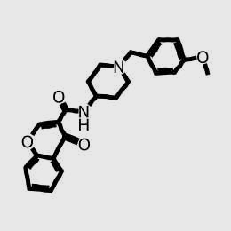 COc1ccc(CN2CCC(NC(=O)c3coc4ccccc4c3=O)CC2)cc1